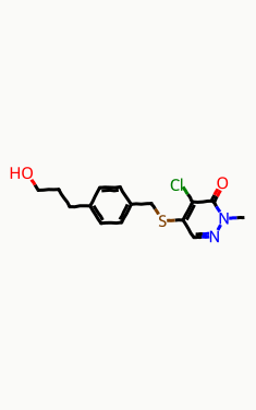 Cn1ncc(SCc2ccc(CCCO)cc2)c(Cl)c1=O